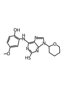 COc1ccc(O)c(Nc2nc(S)nc3c2ncn3C2CCCCO2)c1